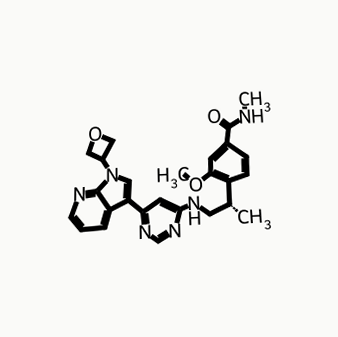 CNC(=O)c1ccc([C@H](C)CNc2cc(-c3cn(C4COC4)c4ncccc34)ncn2)c(OC)c1